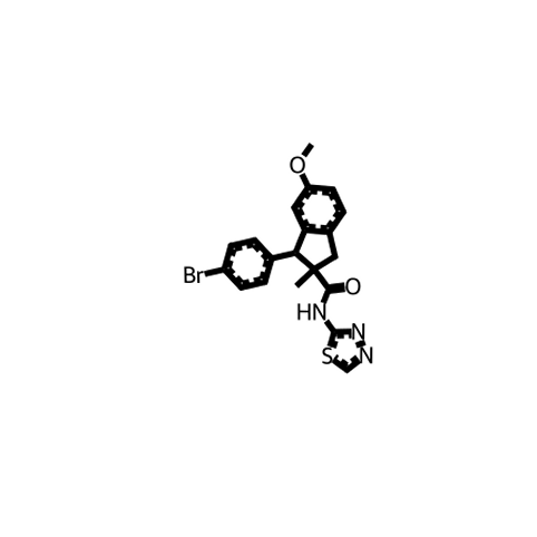 COc1ccc2c(c1)C(c1ccc(Br)cc1)C(C)(C(=O)Nc1nncs1)C2